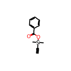 C#C[Si](C)(C)OC(=O)c1ccccc1